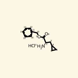 Cl.N[C@@H](CC1CC1)C(=O)OCc1ccccc1